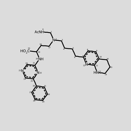 CC(=O)NCN(CCCCc1ccc2c(n1)NCCC2)CCC(Nc1cncc(-c2ccccc2)n1)C(=O)O